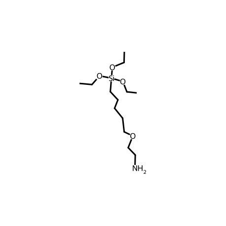 CCO[Si](CCCCCOCCN)(OCC)OCC